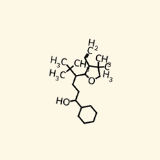 C=CC1C(C(CCC(O)C2CCCCC2)C(C)(C)C)OCC1(C)C